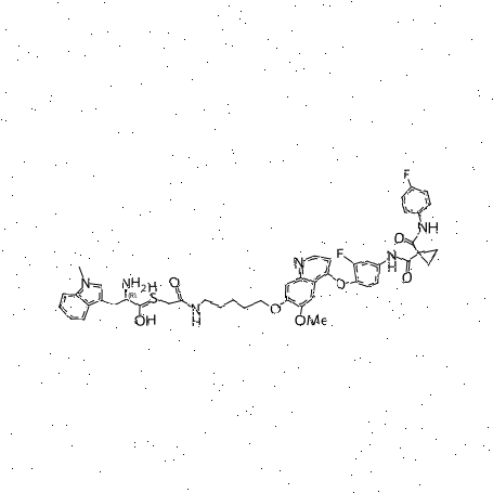 COc1cc2c(Oc3ccc(NC(=O)C4(C(=O)Nc5ccc(F)cc5)CC4)cc3F)ccnc2cc1OCCCCCNC(=O)C[SH]=C(O)[C@H](N)Cc1cn(C)c2ccccc12